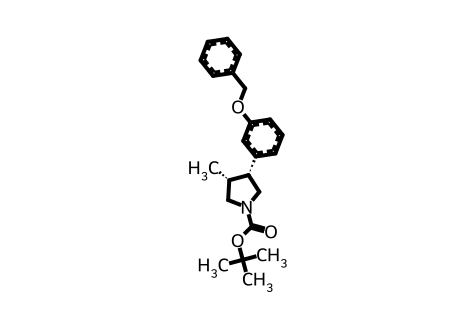 C[C@H]1CN(C(=O)OC(C)(C)C)C[C@H]1c1cccc(OCc2ccccc2)c1